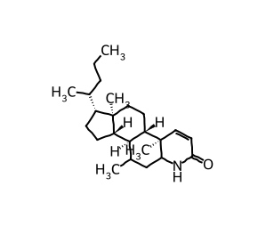 CCCC(C)[C@H]1CC[C@H]2[C@@H]3C(C)CC4NC(=O)C=C[C@]4(C)[C@H]3CC[C@]12C